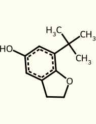 CC(C)(C)c1cc(O)cc2c1OCC2